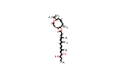 CCC[C@H](O)[C@@H](O)/C=C(C)/C=C/C=C(C)/C=C(C)/C=C/C(=O)O[C@H]1CCCC(=O)O[C@@H](C(C)C)C/C=C/C[C@@H]1C